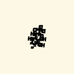 C[C@@H]1CN[C@H](NC(=O)C(Cl)(Cl)Cl)[C@@H](O)[C@@H]1O